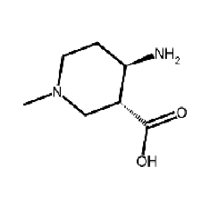 CN1CC[C@@H](N)[C@H](C(=O)O)C1